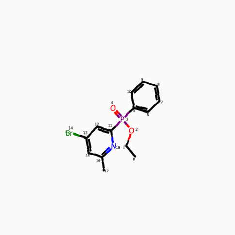 CCOP(=O)(c1ccccc1)c1cc(Br)cc(C)n1